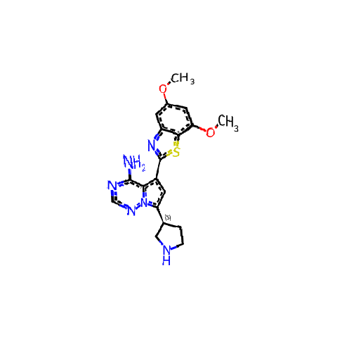 COc1cc(OC)c2sc(-c3cc([C@H]4CCNC4)n4ncnc(N)c34)nc2c1